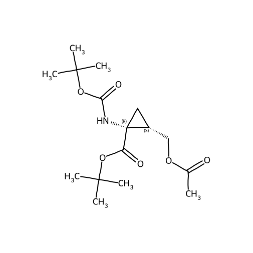 CC(=O)OC[C@H]1C[C@]1(NC(=O)OC(C)(C)C)C(=O)OC(C)(C)C